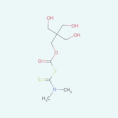 CN(C)C(=S)SC(=O)OCC(CO)(CO)CO